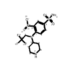 NS(=O)(=O)c1ccc(N(CC(F)(F)F)C2CCNCC2)c([N+](=O)[O-])c1